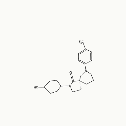 O=C1N(C2CCC(O)CC2)CC[C@]12CCCN(c1ccc(C(F)(F)F)cn1)C2